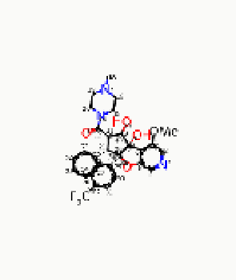 COc1cncc2c1[C@]1(O)[C@H](O)[C@H](C(=O)N3CCN(C)CC3)[C@@H](c3ccccc3)[C@]1(c1ccc(C(F)(F)F)cc1)O2